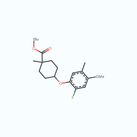 COc1cc(F)c(OC2CCC(C)(C(=O)OC(C)(C)C)CC2)cc1C